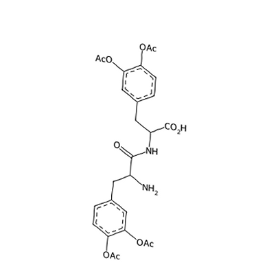 CC(=O)Oc1ccc(CC(N)C(=O)NC(Cc2ccc(OC(C)=O)c(OC(C)=O)c2)C(=O)O)cc1OC(C)=O